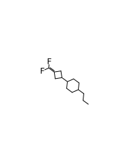 CCCC1CCC(C2CC(=C(F)F)C2)CC1